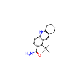 C[Si](C)(C)c1c(C(N)=O)ccc2nc3c(cc12)CCCC3